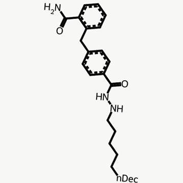 CCCCCCCCCCCCCCCNNC(=O)c1ccc(Cc2ccccc2C(N)=O)cc1